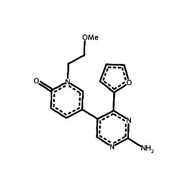 COCCn1cc(-c2cnc(N)nc2-c2ccco2)ccc1=O